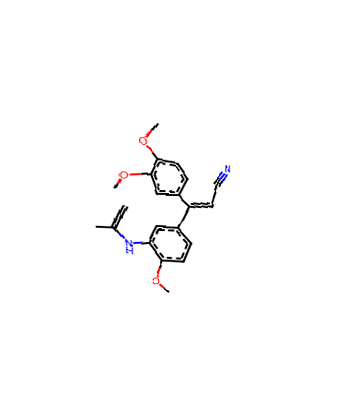 C=C(C)Nc1cc(C(=CC#N)c2ccc(OC)c(OC)c2)ccc1OC